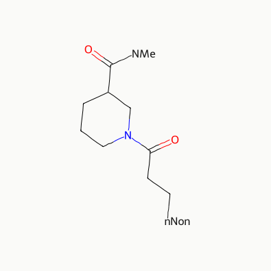 CCCCCCCCCCCC(=O)N1CCCC(C(=O)NC)C1